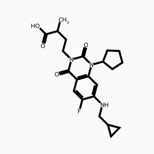 CC(CCn1c(=O)c2cc(F)c(NCC3CC3)cc2n(C2CCCC2)c1=O)C(=O)O